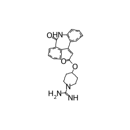 N=C(N)N1CCC(OC(=O)C=C2c3ccccc3NC(=O)c3ccccc32)CC1